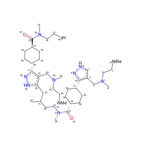 CNCCN(C)Cc1c[nH]nc1[C@H]1CC[C@@H](C(=O)N(C)CCC(C)Cc2[nH]nc([C@H]3CC[C@H](C(=O)N(C)CCC(C)C)CC3)c2CN(C)CCNC)CC1